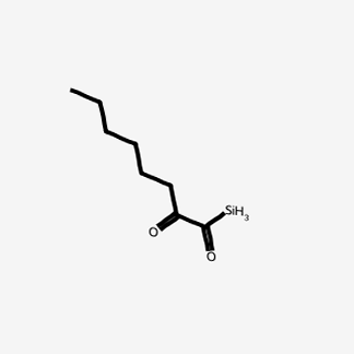 CCCCCCC(=O)C(=O)[SiH3]